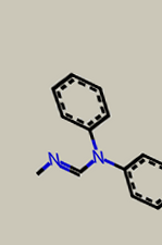 CN=CN(c1ccccc1)c1ccccc1